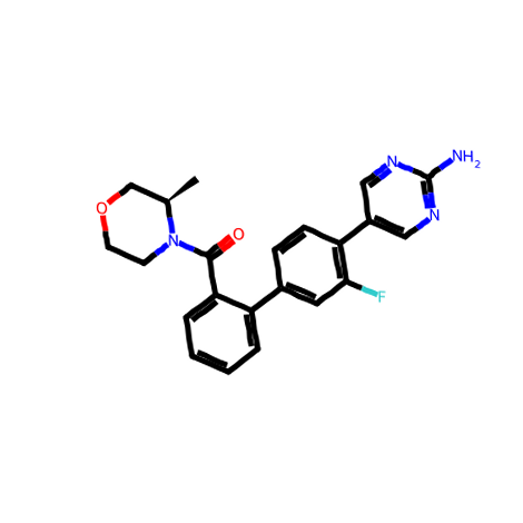 C[C@@H]1COCCN1C(=O)c1ccccc1-c1ccc(-c2cnc(N)nc2)c(F)c1